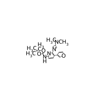 CN(C)C1CN(c2nc(NC(=O)OC(C)(C)C)ccc2-c2ccoc2)C1